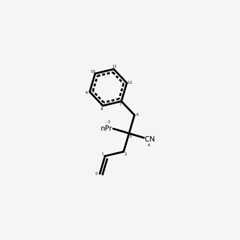 C=CCC(C#N)(CCC)Cc1ccccc1